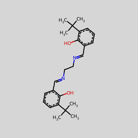 CC(C)(C)c1cccc(C=NCCN=Cc2cccc(C(C)(C)C)c2O)c1O